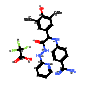 COc1cc(C(Nc2ccc(C(=N)N)cc2)C(=O)NNc2ccccn2)cc(OC)c1O.O=C(O)C(F)(F)F